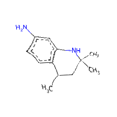 CC1CC(C)(C)Nc2cc(N)ccc21